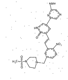 CNc1cncc(-c2c[nH]c(=O)c(/C=C/c3cc(CN4CCN(S(C)(=O)=O)CC4)ccc3[N+](=O)[O-])c2)n1